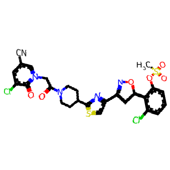 CS(=O)(=O)Oc1cccc(Cl)c1C1CC(c2csc(C3CCN(C(=O)Cn4cc(C#N)cc(Cl)c4=O)CC3)n2)=NO1